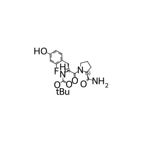 CC(C)(C)OC(=O)N[C@@H](Cc1ccc(O)cc1F)C(=O)N1CCC[C@H]1C(N)=O